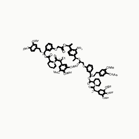 CC[C@H](C(=O)N1CCCCC1C(=O)O[C@H](CCc1ccc(OC)c(OC)c1)c1cccc(OCC(=O)OC(C)c2ccc(C(C)OC(=O)COc3cccc([C@@H](CCc4ccc(OC)c(OC)c4)OC(=O)C4CCCCN4C(=O)[C@@H](C)c4cc(OC)c(OC)c(OC)c4)c3)cc2[N+](=O)[O-])c1)c1cc(OC)c(OC)c(OC)c1